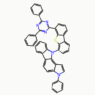 c1ccc(-c2nc(-c3ccccc3)nc(-c3cccc4c3sc3c(-n5c6ccccc6c6ccc7c(ccn7-c7ccccc7)c65)cccc34)n2)cc1